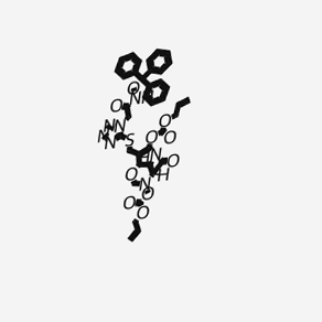 C=CCOC(=O)OC1=C(CSc2nnnn2CC(=O)NOC(c2ccccc2)(c2ccccc2)c2ccccc2)C2OCN(OC(=O)OCC=C)[C@@H]3C(=O)N1[C@H]23